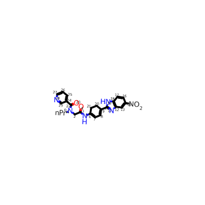 CCCN(CC(=O)NC1=CC=C(c2nc3cc([N+](=O)[O-])ccc3[nH]2)CC1)C(=O)c1cccnc1